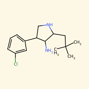 CC(C)(C)CC1NCC(c2cccc(Cl)c2)C1N